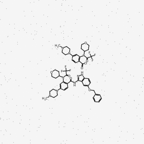 CN1CCN(c2ccc(C(=O)Cl)c(N(C(=O)C(F)(F)F)C3CCOCC3)c2)CC1.CN1CCN(c2ccc(C(=O)Nc3n[nH]c4ccc(OCc5ccccc5)cc34)c(N(C(=O)C(F)(F)F)C3CCOCC3)c2)CC1